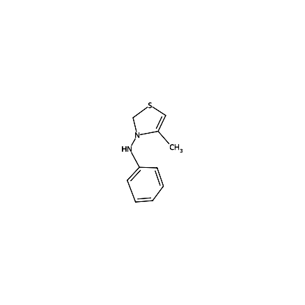 CC1=CSCN1Nc1ccccc1